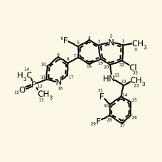 Cc1nc2cc(F)c(-c3ccc(P(C)(C)=O)nc3)cc2c(NC(C)c2cccc(F)c2F)c1Cl